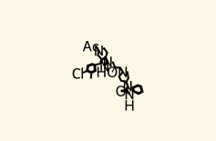 CC(=O)N1CCc2c(c(-c3ccc(Cl)c(C)c3)nn2C[C@H](O)CN2CCC(n3c(=O)[nH]c4ccccc43)CC2)C1